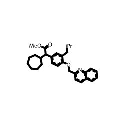 COC(=O)C(c1ccc(OCc2ccc3ccccc3n2)c(CC(C)C)c1)C1CCCCCC1